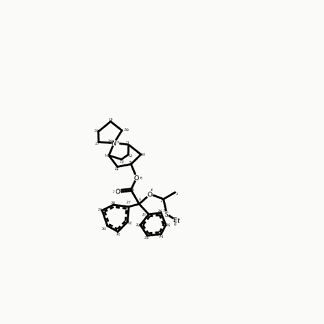 CCSC(C)OC(C(=O)OC1CC2CCC(C1)[N+]21CCCC1)(c1ccccc1)c1ccccc1